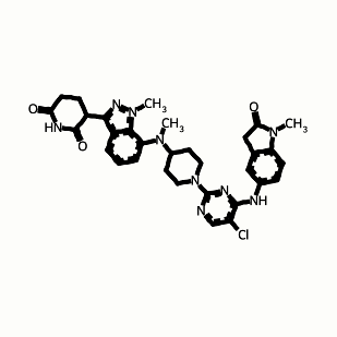 CN1C(=O)Cc2cc(Nc3nc(N4CCC(N(C)c5cccc6c(C7CCC(=O)NC7=O)nn(C)c56)CC4)ncc3Cl)ccc21